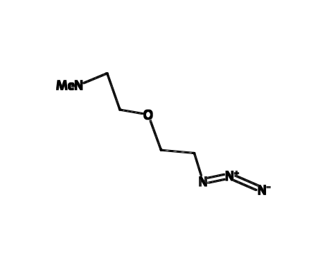 CNCCOCCN=[N+]=[N-]